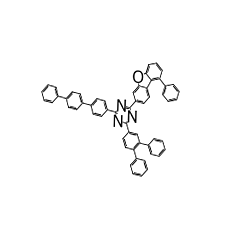 c1ccc(-c2ccc(-c3ccc(-c4nc(-c5ccc(-c6ccccc6)c(-c6ccccc6)c5)nc(-c5ccc6c(c5)oc5cccc(-c7ccccc7)c56)n4)cc3)cc2)cc1